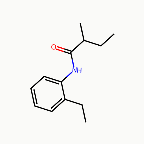 CCc1ccccc1NC(=O)C(C)CC